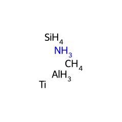 C.N.[AlH3].[SiH4].[Ti]